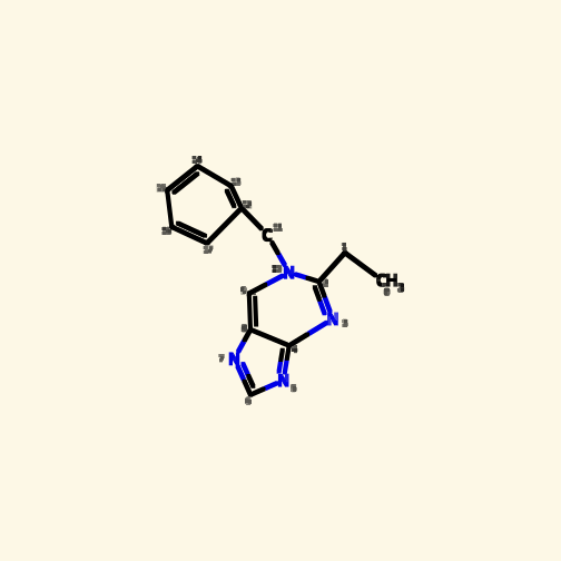 CCc1nc2ncnc-2[c]n1Cc1ccccc1